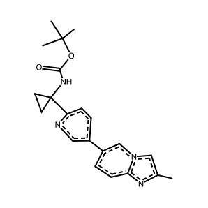 Cc1cn2cc(-c3ccc(C4(NC(=O)OC(C)(C)C)CC4)nc3)ccc2n1